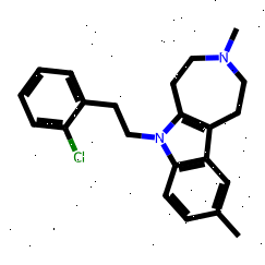 Cc1ccc2c(c1)c1c(n2CCc2ccccc2Cl)CCN(C)CC1